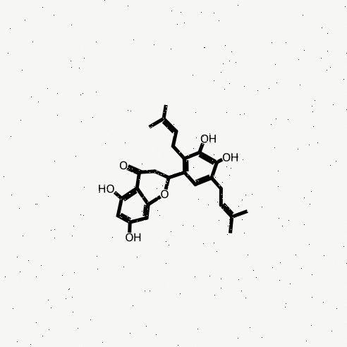 CC(C)=CCc1cc(C2CC(=O)c3c(O)cc(O)cc3O2)c(CC=C(C)C)c(O)c1O